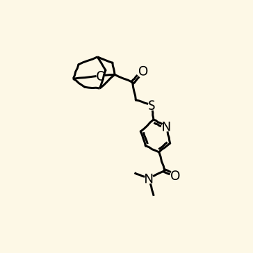 CN(C)C(=O)c1ccc(SCC(=O)C23CC4CC(CC2C4)C3)nc1